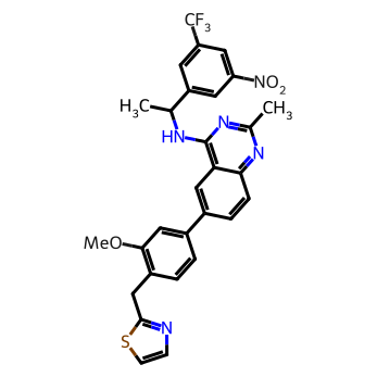 COc1cc(-c2ccc3nc(C)nc(NC(C)c4cc([N+](=O)[O-])cc(C(F)(F)F)c4)c3c2)ccc1Cc1nccs1